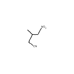 CC(CC#N)C[N+](=O)[O-]